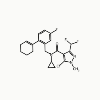 Cn1nc(C(F)F)c(C(=O)N(Cc2cc(F)ccc2C2=CCCCC2)C2CC2)c1Cl